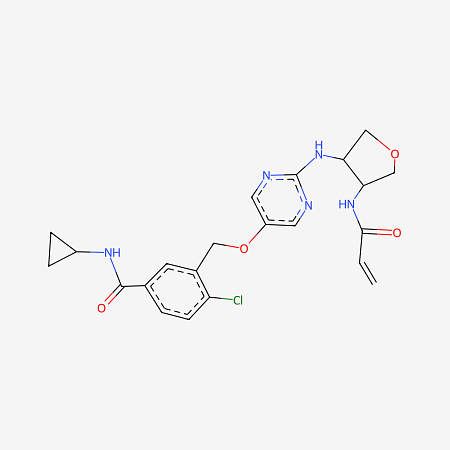 C=CC(=O)NC1COCC1Nc1ncc(OCc2cc(C(=O)NC3CC3)ccc2Cl)cn1